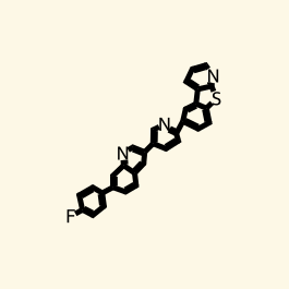 Fc1ccc(-c2ccc3cc(-c4ccc(-c5ccc6sc7ncccc7c6c5)nc4)cnc3c2)cc1